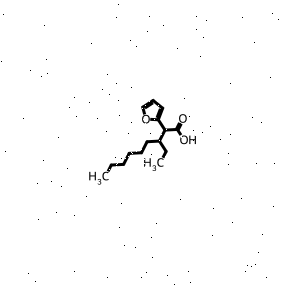 CCCCCCC(CC)C(C(=O)O)c1ccco1